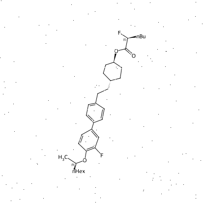 CCCCCC[C@@H](C)Oc1ccc(-c2ccc(CC[C@H]3CC[C@H](OC(=O)[C@@H](F)CCCC)CC3)cc2)cc1F